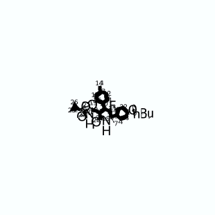 CCCCOc1ccc([C@]2(C)CC(c3ccc(C)cc3)=C(C(=O)NS(=O)(=O)C3CC3)C(=O)N2)c(F)c1